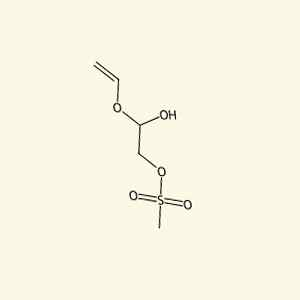 C=COC(O)COS(C)(=O)=O